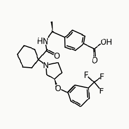 C[C@H](NC(=O)C1(N2CC[C@@H](Oc3cccc(C(F)(F)F)c3)C2)CCCCC1)c1ccc(C(=O)O)cc1